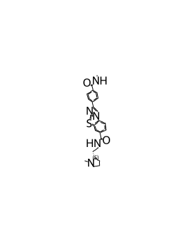 CNC(=O)c1ccc(-c2cn3c(n2)sc2cc(C(=O)NCC[C@@H]4CCCN4C)ccc23)cc1